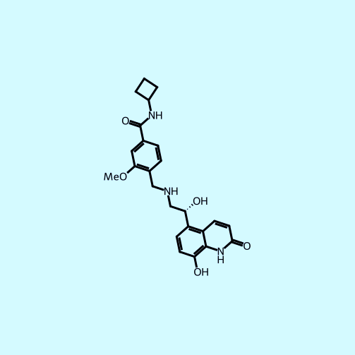 COc1cc(C(=O)NC2CCC2)ccc1CNC[C@H](O)c1ccc(O)c2[nH]c(=O)ccc12